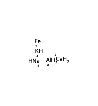 [AlH3].[CaH2].[Fe].[KH].[NaH]